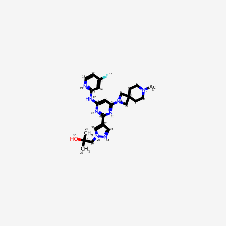 CC(=O)N1CCC2(CC1)CN(c1cc(Nc3cc(F)ccn3)nc(-c3cnn(CC(C)(C)O)c3)n1)C2